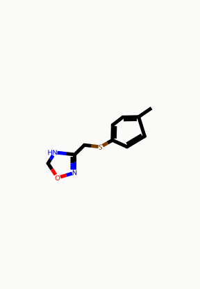 Cc1ccc(SCC2=NOCN2)cc1